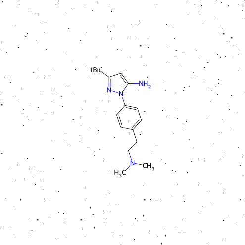 CN(C)CCc1ccc(-n2nc(C(C)(C)C)cc2N)cc1